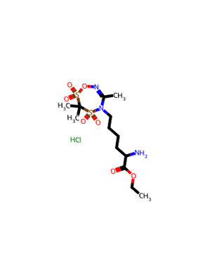 CCOC(=O)C(N)CCCCN1C(C)=NOS(=O)(=O)C(C)(C)S1(=O)=O.Cl